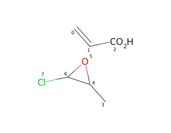 C=CC(=O)O.CC1OC1Cl